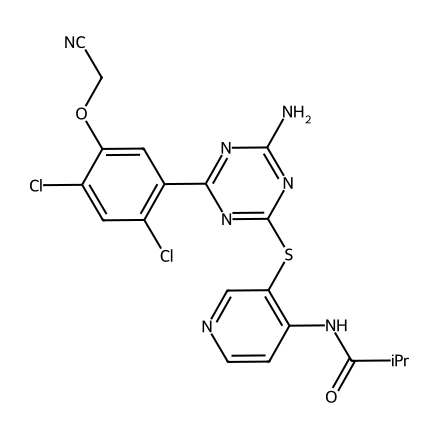 CC(C)C(=O)Nc1ccncc1Sc1nc(N)nc(-c2cc(OCC#N)c(Cl)cc2Cl)n1